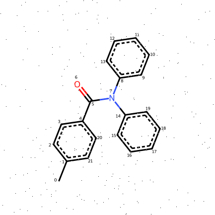 Cc1ccc(C(=O)N(c2ccccc2)c2ccccc2)cc1